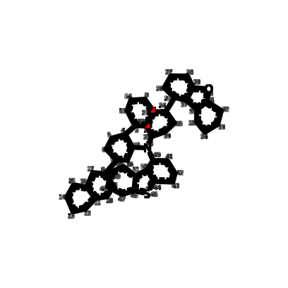 c1ccc(-c2ccc(-c3ccc4ccccc4c3)cc2N(c2ccc(-c3cccc4oc5ccccc5c34)cc2)c2cccc3sc4ccccc4c23)cc1